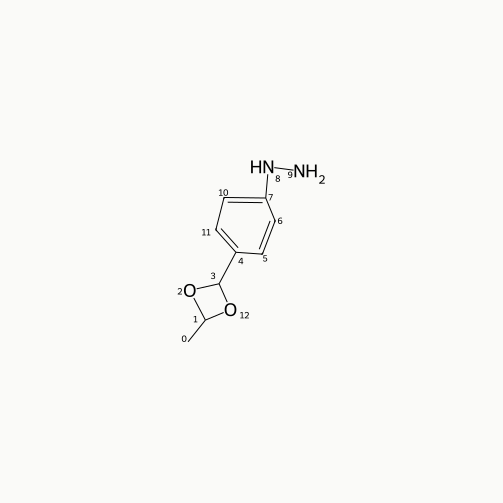 CC1OC(c2ccc(NN)cc2)O1